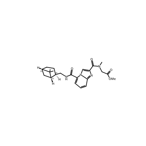 COC(=O)CN(C)C(=O)c1cn2c(C(=O)NC[C@@H]3CC[C@H]4C[C@@H]3C4(C)C)cccc2n1